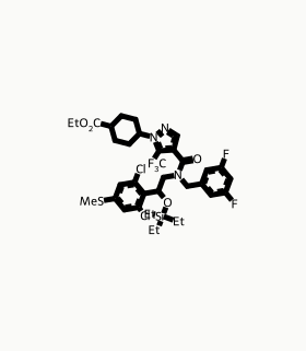 CCOC(=O)C1CCC(n2ncc(C(=O)N(Cc3cc(F)cc(F)c3)CC(O[Si](CC)(CC)CC)c3c(Cl)cc(SC)cc3Cl)c2C(F)(F)F)CC1